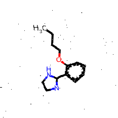 CCCCOc1ccccc1C1[N]CCN1